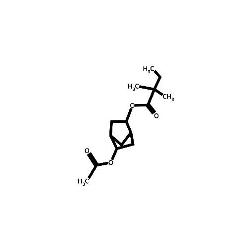 CCC(C)(C)C(=O)OC1CC2CC1CC2OC(C)=O